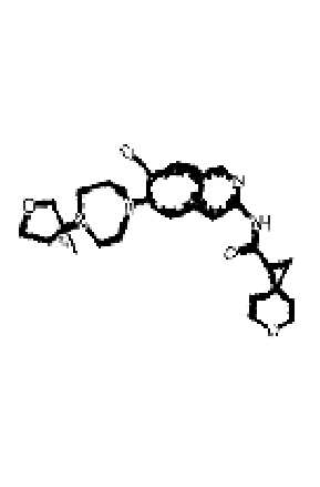 C[C@@]1(N2CCN(c3cc4cc(NC(=O)C5CC56CCOCC6)ncc4cc3Cl)CC2)CCOC1